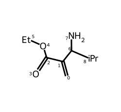 C=C(C(=O)OCC)C(N)C(C)C